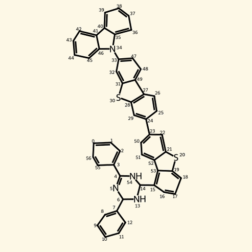 c1ccc(C2=NC(c3ccccc3)NC(c3cccc4sc5cc(-c6ccc7c(c6)sc6cc(-n8c9ccccc9c9ccccc98)ccc67)ccc5c34)N2)cc1